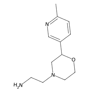 Cc1ccc(C2CN(CCN)CCO2)cn1